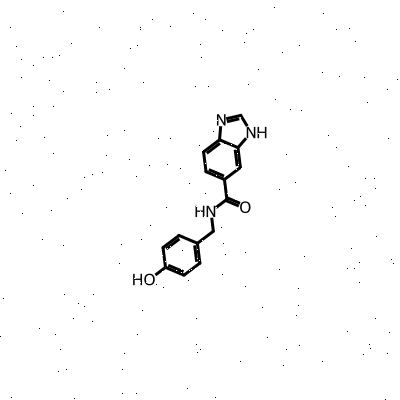 O=C(NCc1ccc(O)cc1)c1ccc2nc[nH]c2c1